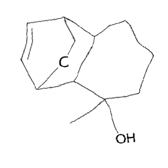 CC1(O)CCCC2C3C=CC(CC3)C21